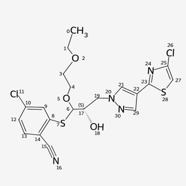 CCOCCOC(Sc1cc(Cl)ccc1C#N)[C@@H](O)Cn1cc(-c2nc(Cl)cs2)cn1